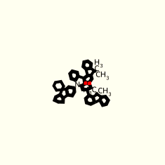 CC1(C)c2ccccc2-c2c(-c3ccccc3N(c3cccc(-c4cccc5c4C(C)(C)c4ccccc4-5)c3)c3ccc4c(c3)C3(CCCCC3)c3ccccc3-4)cccc21